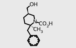 C[C@]1(Cc2ccccc2)CC[C@@H](CO)CN1C(=O)O